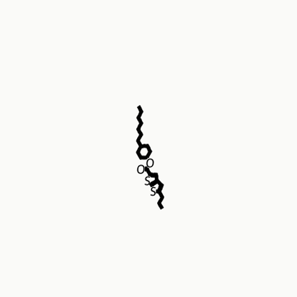 CCCCCCCC1CCC(OC(=O)c2cc3cc(CCC)sc3s2)CC1